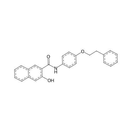 O=C(Nc1ccc(OCCc2ccccc2)cc1)c1cc2ccccc2cc1O